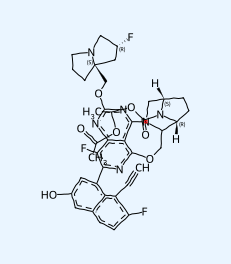 C#Cc1c(F)ccc2cc(O)cc(-c3nc4c5c(nc(OC[C@@]67CCCN6C[C@H](F)C7)nc5c3F)N3C[C@@H]5CC[C@H](C3CO4)N5C(=O)OC(C)OC(C)=O)c12